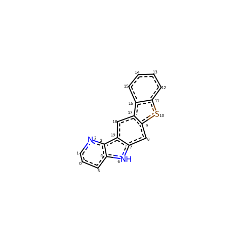 c1cnc2c(c1)[nH]c1cc3sc4ccccc4c3cc12